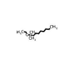 CCCCCCCC[N+](C)(C)OCC